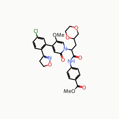 COC(=O)c1ccc(NC(=O)C(CC2COCCO2)n2cc(OC)c(-c3cc(Cl)ccc3C3=NOCC3)cc2=O)cc1